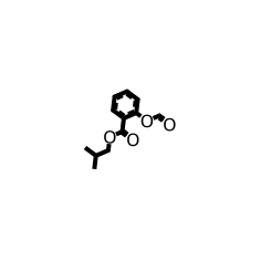 CC(C)COC(=O)c1ccccc1OC=O